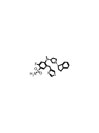 CN(c1cc(F)c(S(N)(=O)=O)cc1Cc1cscn1)[C@H]1CCN([C@H]2CCc3ccccc32)C1